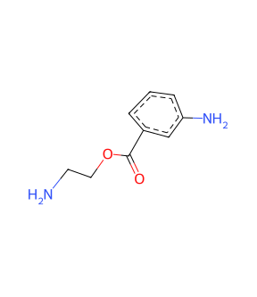 NCCOC(=O)c1cccc(N)c1